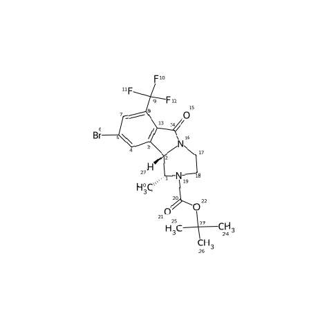 C[C@@H]1[C@@H]2c3cc(Br)cc(C(F)(F)F)c3C(=O)N2CCN1C(=O)OC(C)(C)C